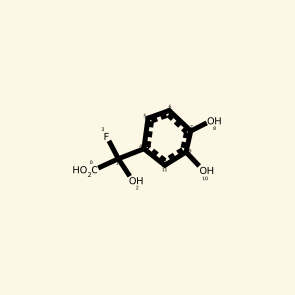 O=C(O)C(O)(F)c1ccc(O)c(O)c1